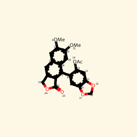 COc1cc2cc3c(c(-c4cc5c(cc4OC(C)=O)OCO5)c2cc1OC)C(=O)OC3